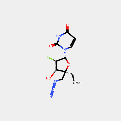 COC[C@@]1(CN=[N+]=[N-])O[C@@H](n2ccc(=O)[nH]c2=O)[C@H](F)[C@@H]1O